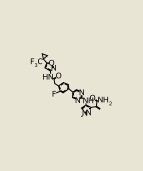 C=C(C(N)=O)c1nn(C)cc1Nc1ncc(-c2ccc(CC(=O)Nc3cc(C4(C(F)(F)F)CC4)on3)c(F)c2)cn1